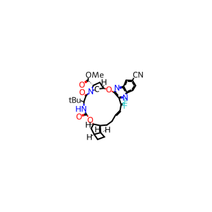 COC(=O)[C@@H]1C[C@@H]2CN1C(=O)[C@H](C(C)(C)C)NC(=O)O[C@@H]1C[C@@H]3CC[C@@H]3[C@H]1CC/C=C/C(F)(F)c1nc3ccc(C#N)cc3nc1O2